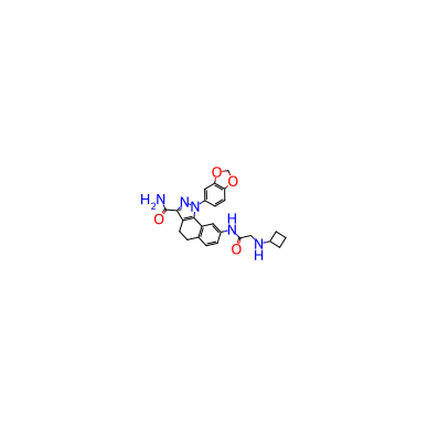 NC(=O)c1nn(-c2ccc3c(c2)OCO3)c2c1CCc1ccc(NC(=O)CNC3CCC3)cc1-2